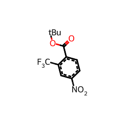 CC(C)(C)OC(=O)c1ccc([N+](=O)[O-])cc1C(F)(F)F